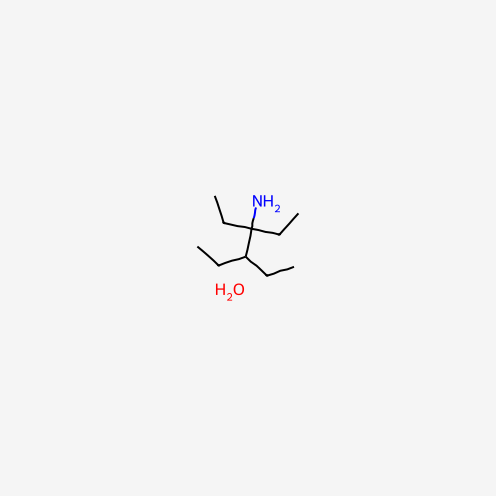 CCC(CC)C(N)(CC)CC.O